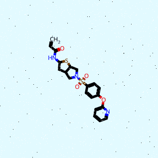 C=CC(=O)NC1CC2CN(S(=O)(=O)c3ccc(Oc4ccccn4)cc3)CC2S1